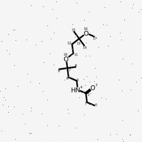 CCC(=O)NCCC(C)(C)OCCC(C)(C)OC